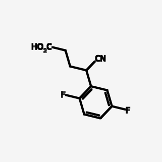 N#CC(CCC(=O)O)c1cc(F)ccc1F